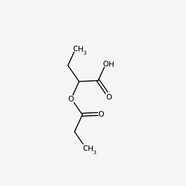 CCC(=O)OC(CC)C(=O)O